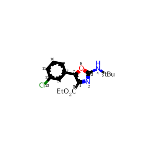 CCOC(=O)c1nc(NC(C)(C)C)oc1-c1cccc(Cl)c1